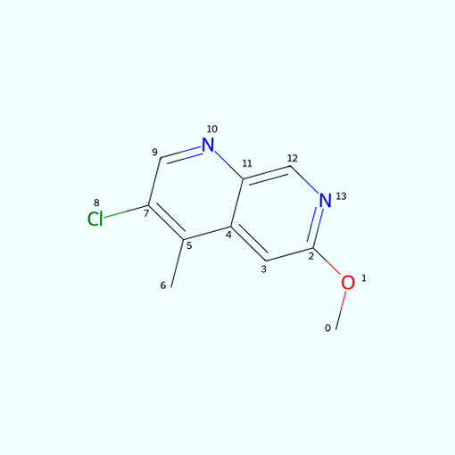 COc1cc2c(C)c(Cl)cnc2cn1